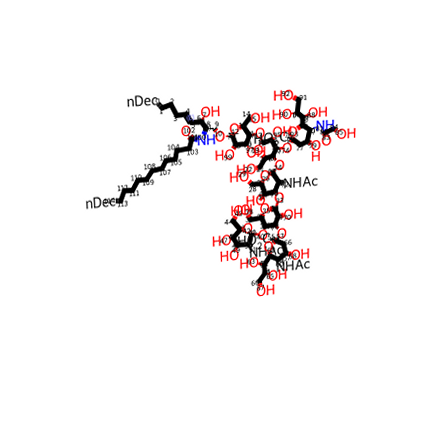 CCCCCCCCCCCCC/C=C/[C@@H](O)[C@H](CO[C@@H]1OC(CO)[C@@H](O[C@@H]2OC(CO)[C@H](O[C@@H]3OC(CO)[C@H](O)[C@H](O[C@@H]4OC(CO)[C@H](O[C@@H]5OC(CO)[C@H](O)[C@H](O)C5NC(C)=O)[C@H](O[C@]5(C(=O)O)CC(O)[C@@H](NC(C)=O)C([C@H](O)[C@H](O)CO)O5)C4O)C3NC(C)=O)[C@H](O[C@]3(C(=O)O)CC(O)[C@@H](NC(=O)CO)C([C@H](O)[C@H](O)CO)O3)C2O)[C@H](O)C1O)NC(=O)CCCCCCCCCCCCCCCCCCCCC